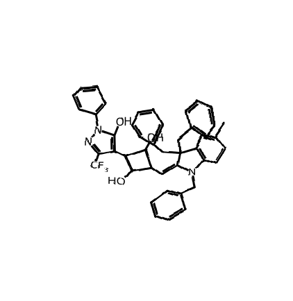 Cc1ccc2c(c1)C(Cc1ccccc1)(Cc1ccccc1)C(=CC1C(O)C(c3c(C(F)(F)F)nn(-c4ccccc4)c3O)C1O)N2Cc1ccccc1